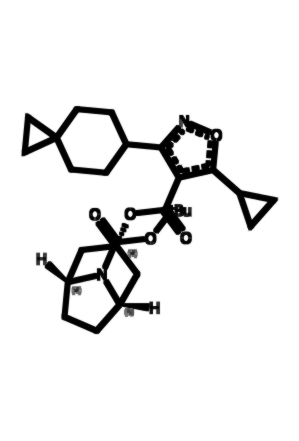 CC(C)(C)OC(=O)N1[C@@H]2CC[C@H]1C[C@@H](OC(=O)c1c(C3CCC4(CC3)CC4)noc1C1CC1)C2